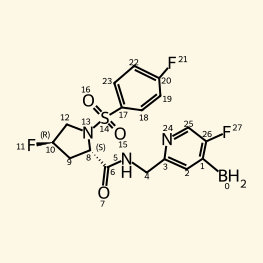 Bc1cc(CNC(=O)[C@@H]2C[C@@H](F)CN2S(=O)(=O)c2ccc(F)cc2)ncc1F